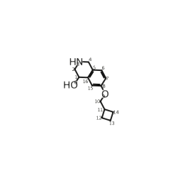 OC1CNCc2ccc(OCC3CCC3)cc21